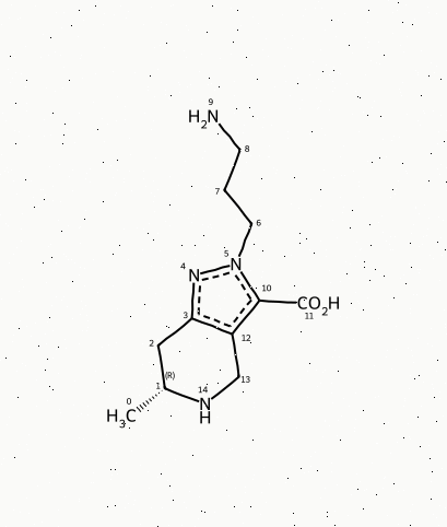 C[C@@H]1Cc2nn(CCCN)c(C(=O)O)c2CN1